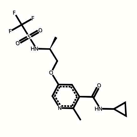 Cc1ncc(OC[C@H](C)NS(=O)(=O)C(F)(F)F)cc1C(=O)NC1CC1